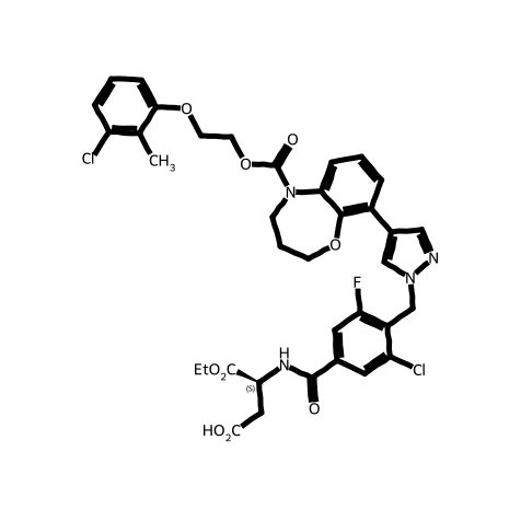 CCOC(=O)[C@H](CC(=O)O)NC(=O)c1cc(F)c(Cn2cc(-c3cccc4c3OCCCN4C(=O)OCCOc3cccc(Cl)c3C)cn2)c(Cl)c1